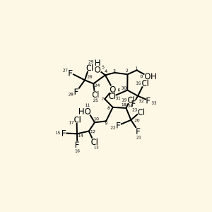 OCC(CC(O)(OCC(CC(O)C(Cl)C(F)(F)Cl)C(Cl)C(F)(F)Cl)C(Cl)C(F)(F)Cl)C(Cl)C(F)(F)Cl